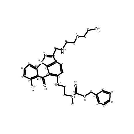 CN(CCNc1ccc2c(CNCCOCCO)nn3c4cccc(O)c4c(=O)c1c23)C(=O)OCc1ccccc1